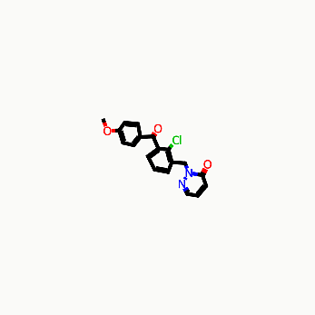 COc1ccc(C(=O)c2cccc(Cn3ncccc3=O)c2Cl)cc1